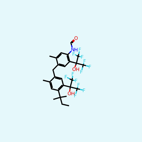 CCC(C)(C)c1cc(C)c(Cc2cc(C(O)(C(F)(F)F)C(F)(F)F)c(NC=O)cc2C)cc1C(O)(C(F)(F)F)C(F)(F)F